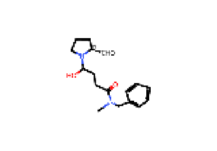 CN(Cc1ccccc1)C(=O)CCC(O)N1CCC[C@H]1C=O